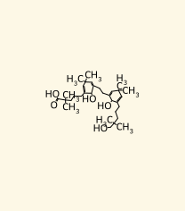 CC1(C)C=C(CCCC(C)(C)CO)C(O)C(CCC2=CC(C)(C)C=C(CCCC(C)(C)C(=O)O)C2O)=C1